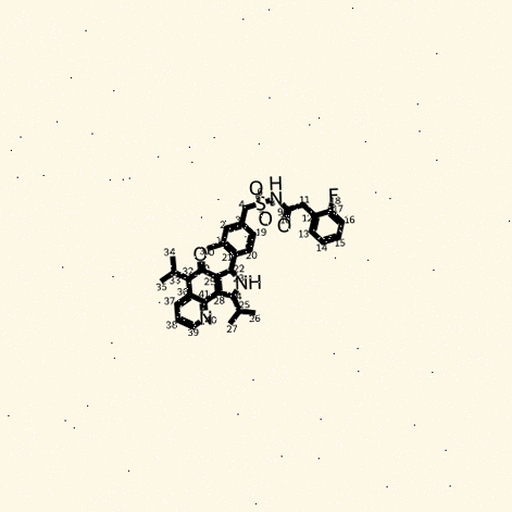 Cc1cc(CS(=O)(=O)NC(=O)Cc2ccccc2F)ccc1C1NC(C(C)C)C2=C1C(=O)C(C(C)C)c1cccnc12